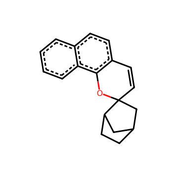 C1=CC2(CC3CCC2C3)Oc2c1ccc1ccccc21